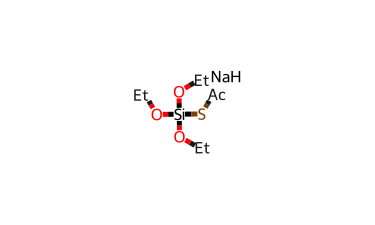 CCO[Si](OCC)(OCC)SC(C)=O.[NaH]